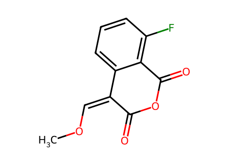 COC=C1C(=O)OC(=O)c2c(F)cccc21